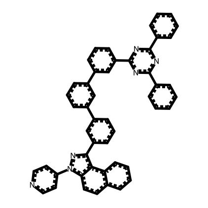 c1ccc(-c2nc(-c3ccccc3)nc(-c3cccc(-c4cccc(-c5cccc(-c6nn(-c7ccncc7)c7ccc8ccccc8c67)c5)c4)c3)n2)cc1